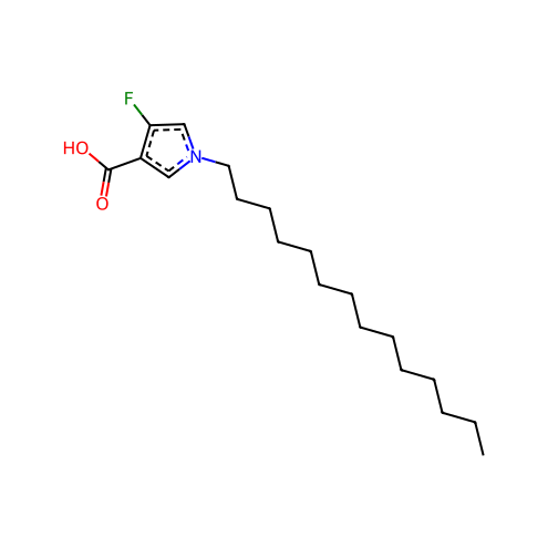 CCCCCCCCCCCCCCn1cc(F)c(C(=O)O)c1